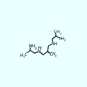 CC(N)CNCC(C)CNCC(C)N